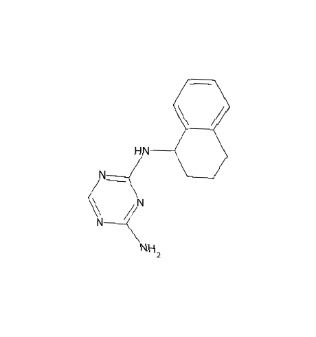 Nc1ncnc(NC2CCCc3ccccc32)n1